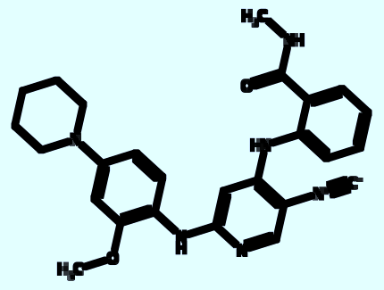 [C-]#[N+]c1cnc(Nc2ccc(N3CCCCC3)cc2OC)cc1Nc1ccccc1C(=O)NC